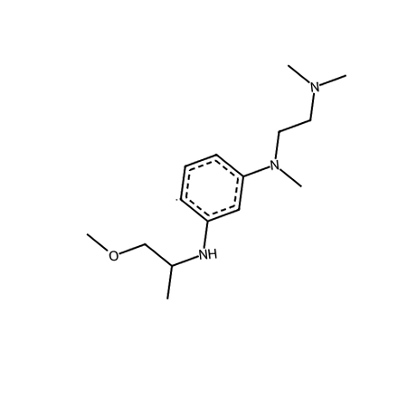 COCC(C)Nc1[c]ccc(N(C)CCN(C)C)c1